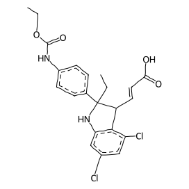 CCOC(=O)Nc1ccc(C2(CC)Nc3cc(Cl)cc(Cl)c3C2C=CC(=O)O)cc1